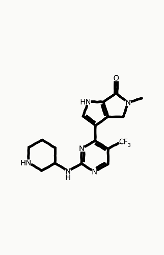 CN1Cc2c(-c3nc(NC4CCCNC4)ncc3C(F)(F)F)c[nH]c2C1=O